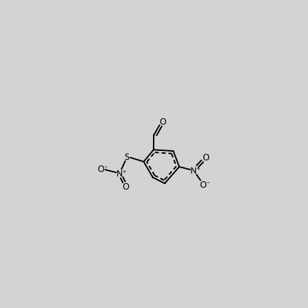 O=Cc1cc([N+](=O)[O-])ccc1S[N+](=O)[O-]